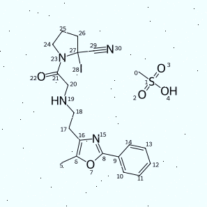 CS(=O)(=O)O.Cc1oc(-c2ccccc2)nc1CCNCC(=O)N1CCCC1(I)C#N